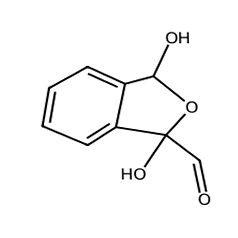 O=CC1(O)OC(O)c2ccccc21